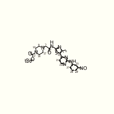 Cc1nc(NC(=O)CN2CCN(C(=O)OC(C)(C)C)CC2)sc1-c1ccnc(Nc2cccc(N=O)c2)n1